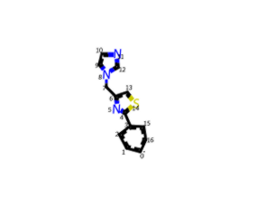 [c]1ccc(-c2nc(Cn3ccnc3)cs2)cc1